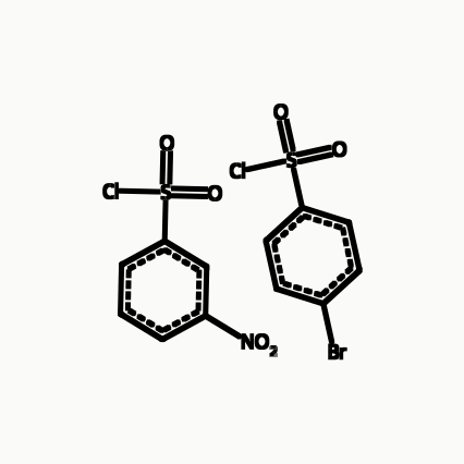 O=S(=O)(Cl)c1ccc(Br)cc1.O=[N+]([O-])c1cccc(S(=O)(=O)Cl)c1